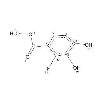 COC(=O)c1ccc(O)c(O)c1F